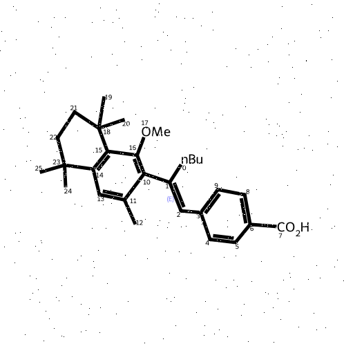 CCCC/C(=C\c1ccc(C(=O)O)cc1)c1c(C)cc2c(c1OC)C(C)(C)CCC2(C)C